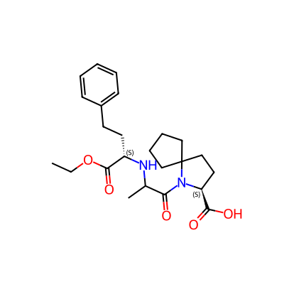 CCOC(=O)[C@H](CCc1ccccc1)NC(C)C(=O)N1[C@H](C(=O)O)CCC12CCCC2